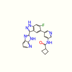 O=C(Nc1cncc(-c2cc3c(-c4nc5cccnc5[nH]4)n[nH]c3cc2F)c1)C1CCC1